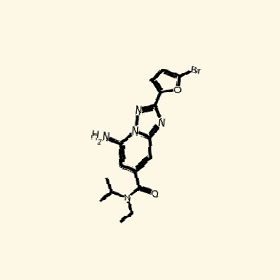 CCN(C(=O)c1cc(N)n2nc(-c3ccc(Br)o3)nc2c1)C(C)C